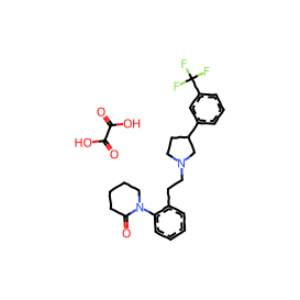 O=C(O)C(=O)O.O=C1CCCCN1c1ccccc1CCN1CCC(c2cccc(C(F)(F)F)c2)C1